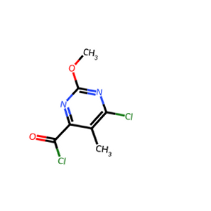 COc1nc(Cl)c(C)c(C(=O)Cl)n1